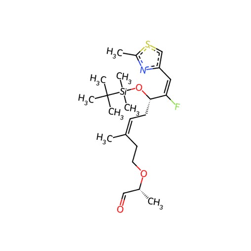 C/C(=C/C[C@H](O[Si](C)(C)C(C)(C)C)/C(F)=C\c1csc(C)n1)CCO[C@H](C)C=O